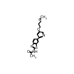 COCCCOc1cncc(-c2ccc3nc(NC(C)=O)sc3c2)c1